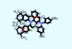 Cc1cc(C(C)(C)C)ccc1N1c2ccc(C(C)(C)C)cc2B2c3sc4cc5c(cc4c3N(c3cc4c(cc3-c3ccccc3)C(C)(C)CCC4(C)C)c3cc(C(C)(C)C)cc1c32)C1(C)CCC5(C)CC1